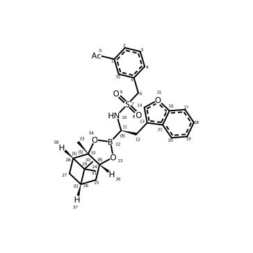 CC(=O)c1cccc(CS(=O)(=O)N[C@@H](Cc2coc3ccccc23)B2O[C@@H]3C[C@@H]4C[C@@H](C4(C)C)[C@]3(C)O2)c1